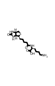 NCCCC[C@H](NC(=O)CCCC[C@@H]1SC[C@@H]2NC(=O)N[C@@H]21)C(=O)O